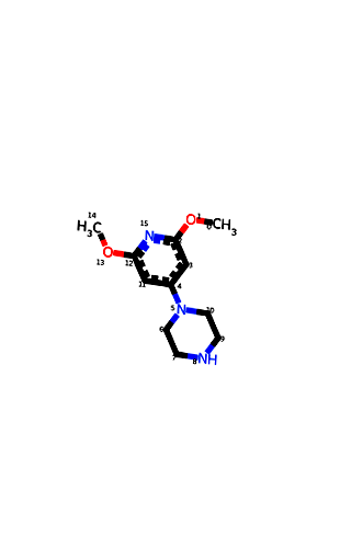 COc1cc(N2CCNCC2)cc(OC)n1